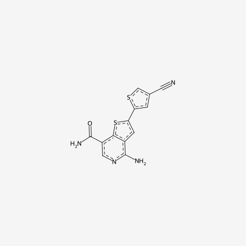 N#Cc1csc(-c2cc3c(N)ncc(C(N)=O)c3s2)c1